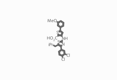 COc1cccc(-c2cc(Nc3nc(-c4ccc(Cl)c(Cl)c4)c(CC(C)C)s3)c(C(=O)O)s2)c1